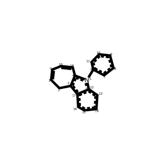 C1=CCc2c(n(-c3ccccc3)c3ccccc23)C=C1